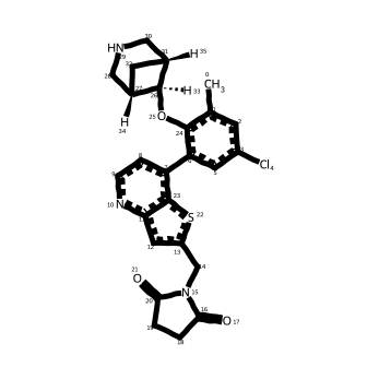 Cc1cc(Cl)cc(-c2ccnc3cc(CN4C(=O)CCC4=O)sc23)c1O[C@H]1[C@@H]2CNC[C@H]1C2